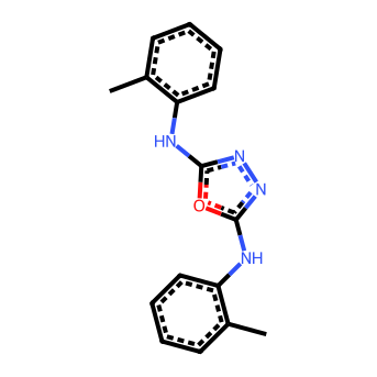 Cc1ccccc1Nc1nnc(Nc2ccccc2C)o1